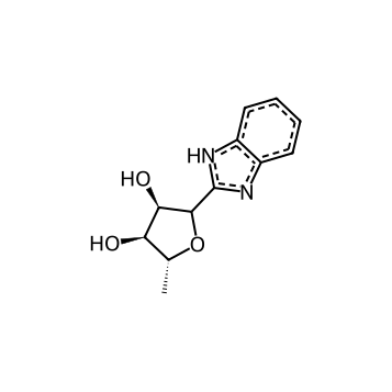 C[C@H]1OC(c2nc3ccccc3[nH]2)[C@H](O)[C@@H]1O